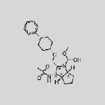 COC(O)N1[C@@H]2CCC[C@@H]2[C@H](NS(C)(=O)=O)[C@@H]1CO[C@H]1CC[C@@H](c2ccccc2)CC1